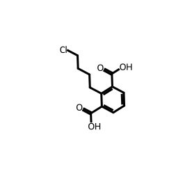 O=C(O)c1cccc(C(=O)O)c1CCCCCl